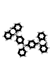 c1ccc(N(c2ccc(N3c4ccccc4Sc4ccccc43)cc2)c2ccc(N3c4ccccc4Sc4ccccc43)cc2)cc1